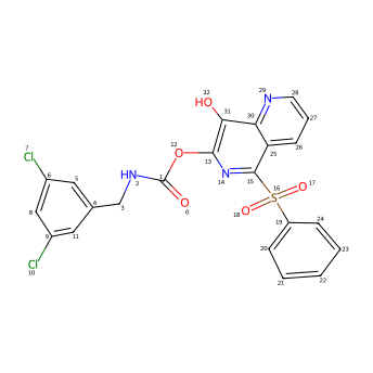 O=C(NCc1cc(Cl)cc(Cl)c1)Oc1nc(S(=O)(=O)c2ccccc2)c2cccnc2c1O